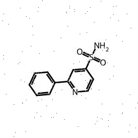 NS(=O)(=O)c1ccnc(-c2ccccc2)c1